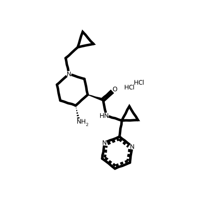 Cl.Cl.N[C@@H]1CCN(CC2CC2)C[C@H]1C(=O)NC1(c2ncccn2)CC1